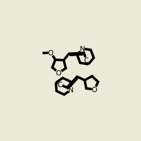 C(=C1\CC2CCN1CC2)/C1CCOC1.COC1COCC1/C=C1\CC2CCN1CC2